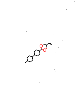 C=CC1COC(C2CCC(C3CCC(C)CC3)CC2)OC1